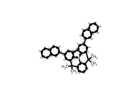 CC1(C)c2cccc3c2-n2c4c1cc(-c1ccc5ccccc5c1)cc4c1cc(-c4ccc5ccccc5c4)cc(c12)C3(C)C